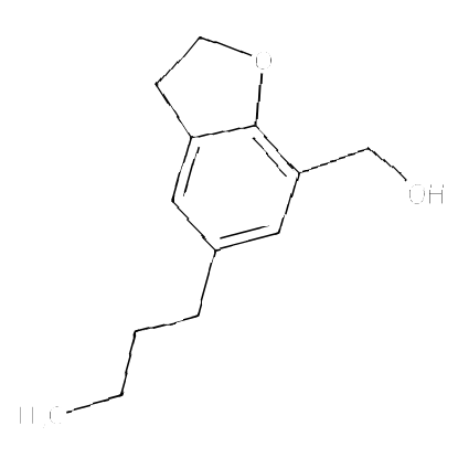 CCCCc1cc(CO)c2c(c1)CCO2